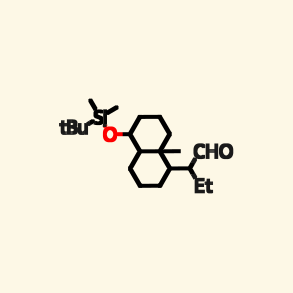 CCC(C=O)C1CCCC2C(O[Si](C)(C)C(C)(C)C)CCCC12C